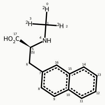 [2H]C([2H])([2H])N[C@@H](Cc1ccc2ccccc2c1)C(=O)O